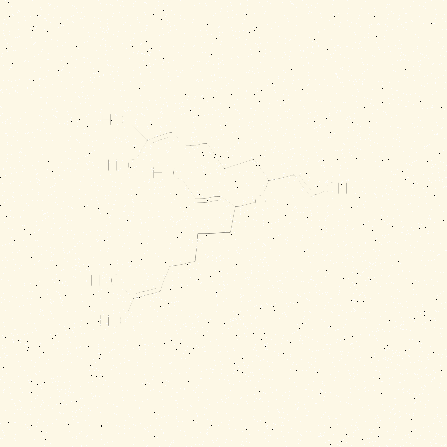 CC=CC(CCCCC=C(C)C)OC(C=CC)CCCCC=C(C)C